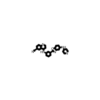 N#Cc1ccc2nccc(Nc3cccc(-c4nc5cc(Nc6ccncc6)ccc5o4)c3)c2c1